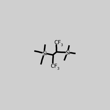 C[Si](C)(C)C(C(C(F)(F)F)[Si](C)(C)C)C(F)(F)F